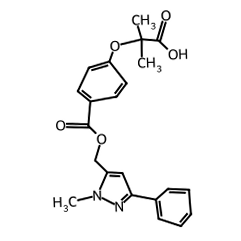 Cn1nc(-c2ccccc2)cc1COC(=O)c1ccc(OC(C)(C)C(=O)O)cc1